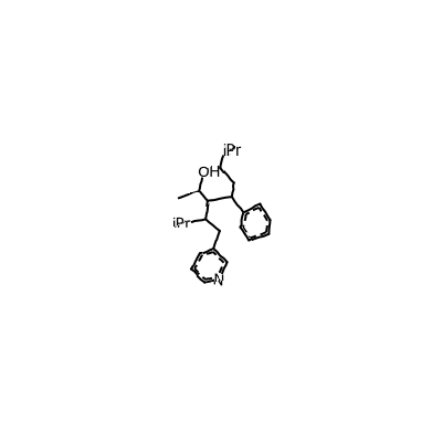 CC(C)CCC(c1ccccc1)C(C(C)O)C(Cc1cccnc1)C(C)C